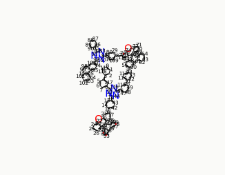 c1ccc(-c2cccc(-c3nc(-c4ccc(-c5ccc6c(c5)Oc5ccccc5C65c6ccccc6-c6ccccc65)cc4)nc(-c4cccc(-c5ccc(-c6ccc7c(c6)-c6ccccc6C76c7ccccc7Oc7cc(-c8ccc(-c9nc(-c%10ccccc%10)nc(-c%10ccc%11c(ccc%12ccccc%12%11)c%10)n9)cc8)ccc76)cc5)c4)n3)c2)cc1